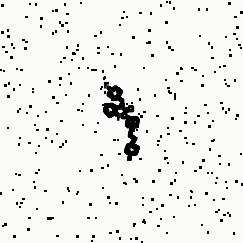 Cc1ccc(CC[N+]23CCC(CC2)C(OC(=O)N(Cc2ccc(F)cc2)c2ccccc2F)C3)cc1